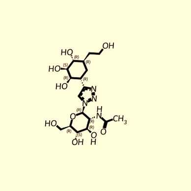 CC(=O)N[C@@H]1[C@@H](O)[C@H](O)[C@@H](CO)O[C@H]1n1cc([C@H]2C[C@H](CCO)[C@@H](O)[C@H](O)[C@@H]2O)nn1